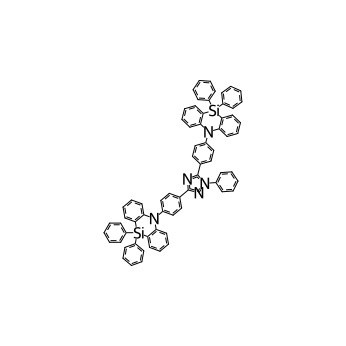 c1ccc(-n2nc(-c3ccc(N4c5ccccc5[Si](c5ccccc5)(c5ccccc5)c5ccccc54)cc3)nc2-c2ccc(N3c4ccccc4[Si](c4ccccc4)(c4ccccc4)c4ccccc43)cc2)cc1